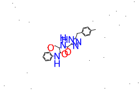 Cc1ccc(Cc2nnc(C(=O)NC3COc4ccccc4NC3=O)[nH]2)cc1